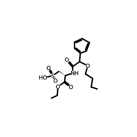 CCCCOC(C(=O)N[C@@H](CS(=O)(=O)O)C(=O)OCC)c1ccccc1